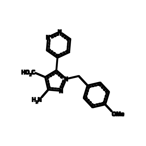 COc1ccc(Cn2nc(N)c(C(=O)O)c2-c2ccnnc2)cc1